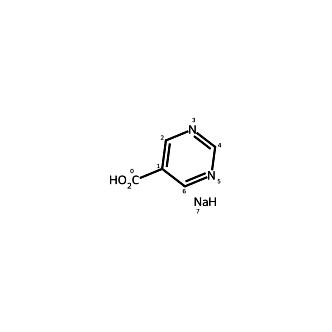 O=C(O)c1cncnc1.[NaH]